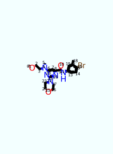 COCCN(C)c1cc(C(=O)Nc2ccc(Br)c(C)c2)nc(N2CCOCC2)n1